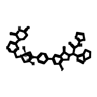 O=C1CCN(c2cncc(CN3C[C@H]4C[C@@H]3CN4c3ccc(-c4cc(F)c5c(c4)C(=O)N(C(C(=O)Nc4nccs4)c4ncn6c4CCC6)C5)cc3)n2)C(=O)N1